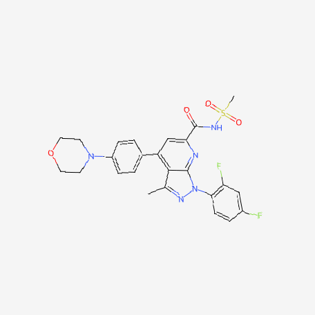 Cc1nn(-c2ccc(F)cc2F)c2nc(C(=O)NS(C)(=O)=O)cc(-c3ccc(N4CCOCC4)cc3)c12